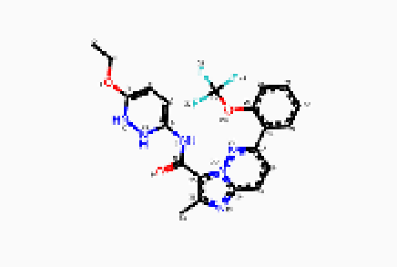 CCOC1=CC=C(NC(=O)c2c(C)nc3ccc(-c4ccccc4OC(F)(F)F)nn23)NN1